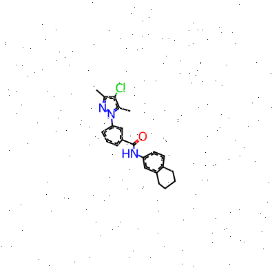 Cc1nn(-c2cccc(C(=O)Nc3ccc4c(c3)CCCC4)c2)c(C)c1Cl